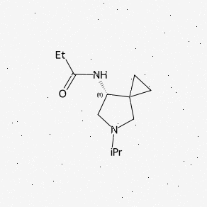 CCC(=O)N[C@H]1CN(C(C)C)CC12CC2